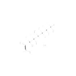 FC(F)=C(F)C(F)(F)C(F)(F)C(F)(F)C(F)(F)C(F)(F)C(F)(F)F.[H+]